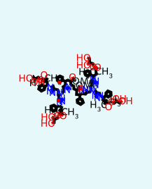 COC(=O)C(CCCC(CC(c1ccccc1)C1C=C(CN(Cc2cn(C(CC(C)(C)C(=O)OCC(O)CO)c3ccccc3)nn2)Cc2cn(C(CC(C)(C)C(=O)OCC(O)CO)c3ccccc3)nn2)N=N1)C(=O)OC)CC(c1ccccc1)C1C=C(CN(Cc2cn(C(CC(C)(C)C(=O)OCC(O)CO)c3ccccc3)nn2)Cc2cn(C(CC(C)(C)C(=O)OCC(O)CO)c3ccccc3)nn2)N=N1